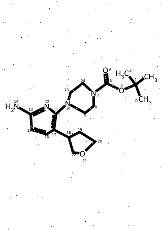 CC(C)(C)OC(=O)N1CCN(c2nc(N)ccc2C2CCOC2)CC1